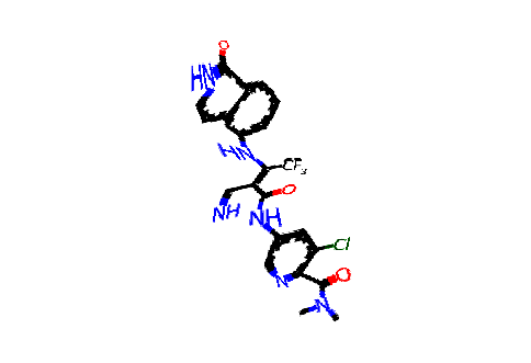 CN(C)C(=O)c1ncc(NC(=O)/C(C=N)=C(/Nc2cccc3c(=O)[nH]ccc23)C(F)(F)F)cc1Cl